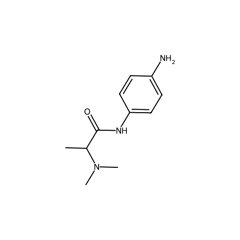 CC(C(=O)Nc1ccc(N)cc1)N(C)C